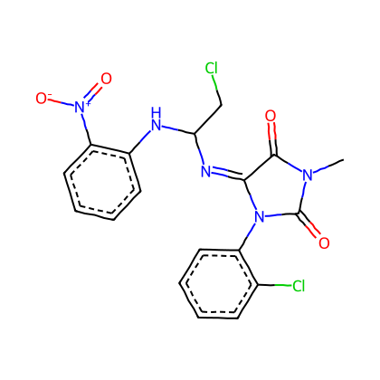 CN1C(=O)C(=NC(CCl)Nc2ccccc2[N+](=O)[O-])N(c2ccccc2Cl)C1=O